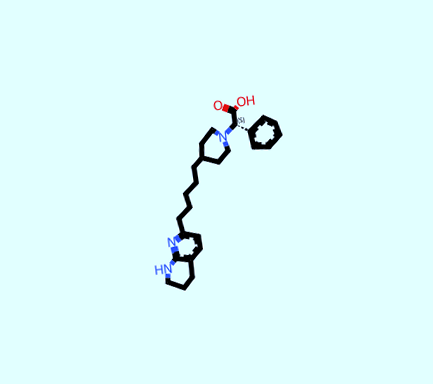 O=C(O)[C@H](c1ccccc1)N1CCC(CCCCCc2ccc3c(n2)NCCC3)CC1